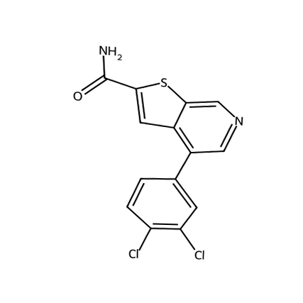 NC(=O)c1cc2c(-c3ccc(Cl)c(Cl)c3)cncc2s1